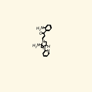 Nc1ccccc1C(=O)/C=C/N1C[C@H]2C[C@]1(N)CN2c1ccccn1